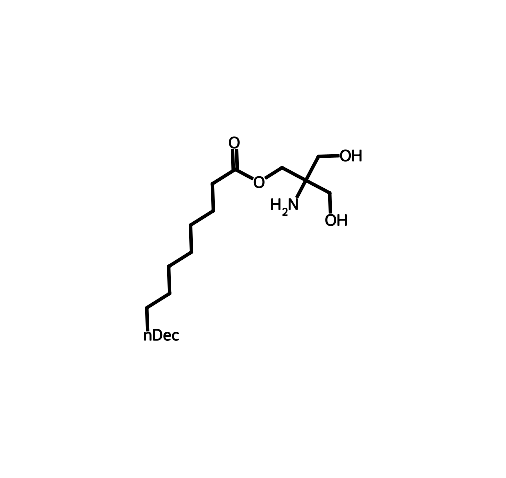 CCCCCCCCCCCCCCCCCC(=O)OCC(N)(CO)CO